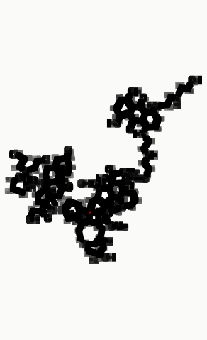 CC[C@]1(O)C[C@H]2C[N@](CCc3c([nH]c4ccccc34)[C@@](C(=O)OC)(c3cc4c(cc3OC)N(C=O)[C@H]3[C@@](O)(C(=O)OC)[C@H](OC(C)=O)[C@]5(CC)C=CCN6CC[C@]43[C@@H]65)C2)C1.C[C@]12C=CC(=O)C=C1CC[C@@H]1[C@@H]2C(=O)C[C@@]2(C)[C@H]1CC[C@]2(O)C(=O)CO.O=C1c2c(O)ccc(O)c2C(=O)c2c(NCCNCCO)ccc(NCCNCCO)c21.O=P1(N(CCCl)CCCl)NCCCO1